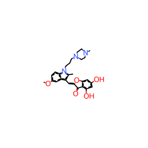 COc1ccc2c(c1)c(/C=C1\Oc3cc(O)cc(O)c3C1=O)c(C)n2CCCN1CCN(C)CC1